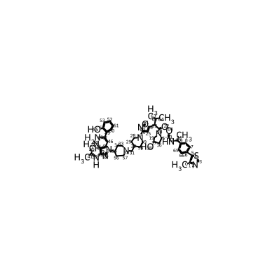 Cc1ncsc1-c1ccc([C@H](C)NC(=O)[C@@H]2C[C@@H](O)CN2C(=O)C(c2cc(N3CCC(CN4CCC(n5nc(NC(C)C)c(N)c5/C=C(\N)c5ccccc5O)CC4)CC3)no2)C(C)C)cc1